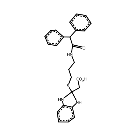 O=C(O)CC1(SCCCNC(=O)C(c2ccccc2)c2ccccc2)Nc2ccccc2N1